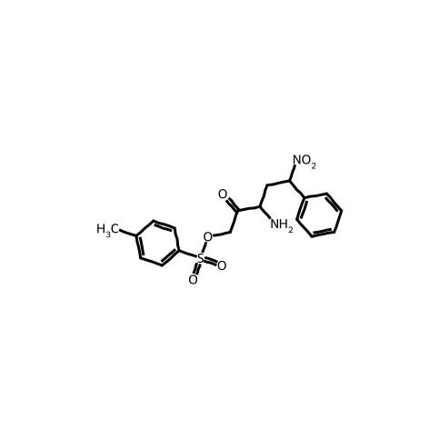 Cc1ccc(S(=O)(=O)OCC(=O)C(N)CC(c2ccccc2)[N+](=O)[O-])cc1